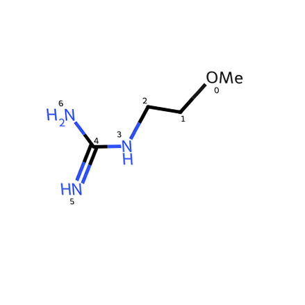 COCCNC(=N)N